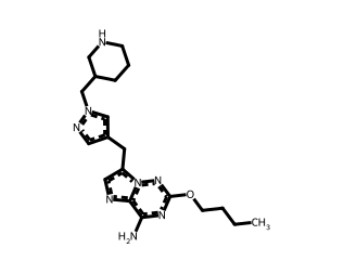 CCCCOc1nc(N)c2ncc(Cc3cnn(CC4CCCNC4)c3)n2n1